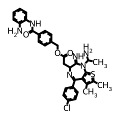 Cc1sc2c(c1C)C(c1ccc(Cl)cc1)=NC(CC(=O)OCc1ccc(C(=O)Nc3ccccc3N)cc1)C(=N)N2C(C)N